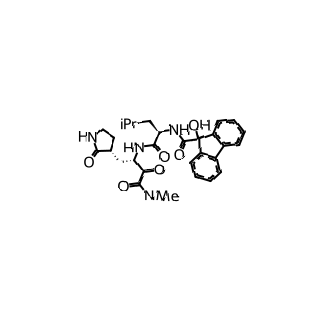 CNC(=O)C(=O)[C@H](C[C@H]1CCNC1=O)NC(=O)[C@@H](CC(C)C)NC(=O)C1(O)c2ccccc2-c2ccccc21